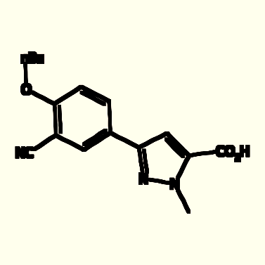 CCCCOc1ccc(-c2cc(C(=O)O)n(C)n2)cc1C#N